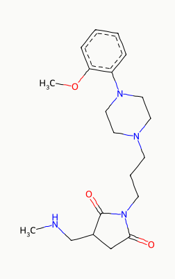 CNCC1CC(=O)N(CCCN2CCN(c3ccccc3OC)CC2)C1=O